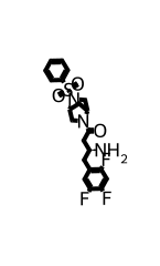 N[C@@H](CC(=O)N1CC2CC1CN2S(=O)(=O)c1ccccc1)Cc1cc(F)c(F)cc1F